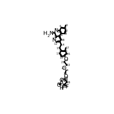 Cc1ccc2c(c1)nc(N)c1ncc(CCc3ccc(OCCOCCOCCC(F)(F)[PH](=O)O)cc3C)cc12